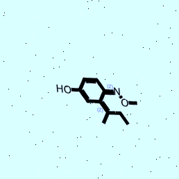 CC/C(C)=C1/C=C(O)C=C/C1=N/OC